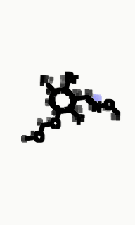 COCOc1cc(F)c(Br)c(/C=N/OC)c1F